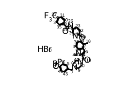 Br.CCCOc1ccc(CN2CCN(C(=O)c3cc4c(C)c(Oc5ccc(N(C)C(=O)c6ccc(C(F)(F)F)cc6)cn5)ccc4n3C)CC2)cc1